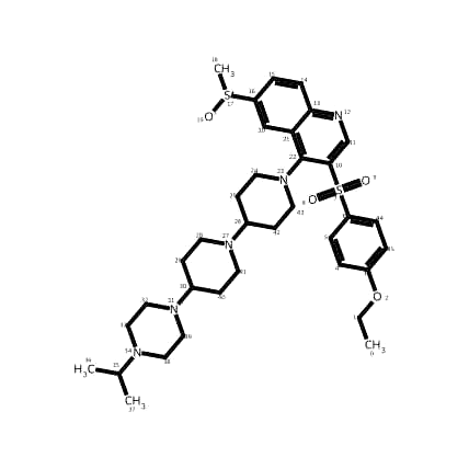 CCOc1ccc(S(=O)(=O)c2cnc3ccc([S+](C)[O-])cc3c2N2CCC(N3CCC(N4CCN(C(C)C)CC4)CC3)CC2)cc1